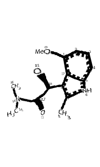 COc1cccc2[nH]c(C)c(C(=O)C(=O)N(C)C)c12